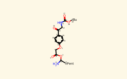 CCCCCC(N)OC(=O)COc1ccc(C(=O)CNC(=O)OC(C)(C)C)cc1